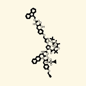 C#CCOc1ccc(CC(NC(=O)C(Cc2ccc3ccccc3c2)NC(=O)[C@@H]2C[C@H](n3cc(COc4ccc(CC(NC(=O)OCC5c6ccccc6-c6ccccc65)C(=O)O)cc4)nn3)CN2C(=O)C(NC(=O)C(C)N(C)C(=O)OC(C)(C)C)C(C)(C)C)C(=O)NS(=O)(=O)C2CC2)cc1